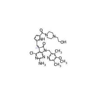 COc1c(C)cnc(CN2C(=O)/C(=C\c3ccc(C(=O)N4CCN(CCO)CC4)[nH]3)c3c(Cl)nc(N)nc32)c1C